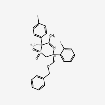 CC1=N[C@](COCc2ccccc2)(c2ccccc2F)CS(=O)(=O)C1(C)c1ccc(F)cc1